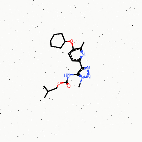 Cc1nc(-c2nnn(C)c2NC(=O)OCC(C)C)ccc1OC1CCCCC1